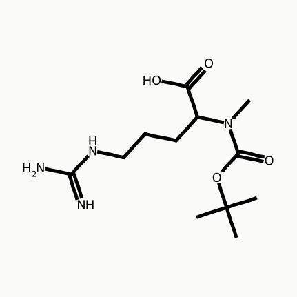 CN(C(=O)OC(C)(C)C)C(CCCNC(=N)N)C(=O)O